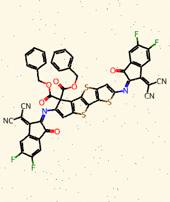 N#CC(C#N)=C1/C(=N/C2=Cc3sc4c(sc5cc(/N=C6\C(=O)c7cc(F)c(F)cc7C6=C(C#N)C#N)sc54)c3C2(C(=O)OCc2ccccc2)C(=O)OCc2ccccc2)C(=O)c2cc(F)c(F)cc21